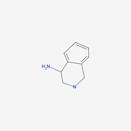 NC1C[N]Cc2ccccc21